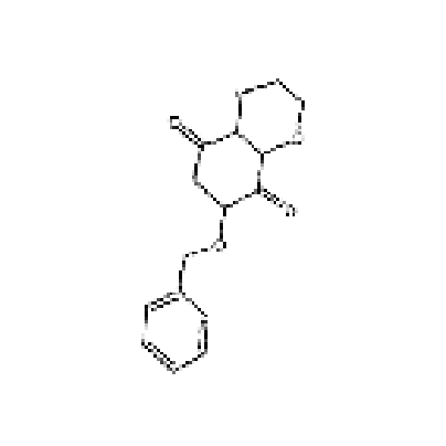 O=C1CC(OCc2ccccc2)C(=O)C2OCC[C]C12